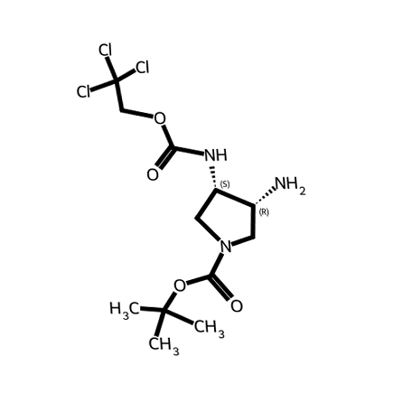 CC(C)(C)OC(=O)N1C[C@@H](N)[C@@H](NC(=O)OCC(Cl)(Cl)Cl)C1